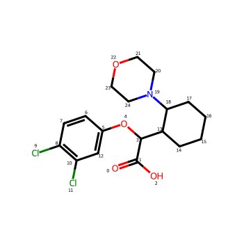 O=C(O)C(Oc1ccc(Cl)c(Cl)c1)C1CCCCC1N1CCOCC1